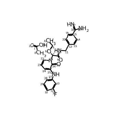 CC(=O)O.CCOC(C(=O)NCc1ccc(C(=N)N)cc1)n1cccc(Nc2cccc(F)c2)c1=O